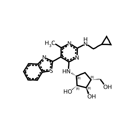 Cc1nc(NCC2CC2)nc(N[C@@H]2C[C@H](CO)[C@@H](O)[C@@H]2O)c1-c1nc2ccccc2s1